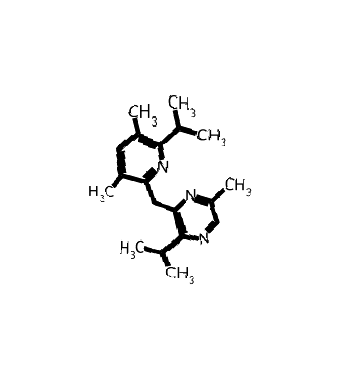 Cc1cnc(C(C)C)c(Cc2nc(C(C)C)c(C)cc2C)n1